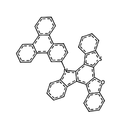 c1ccc2c(c1)oc1c3sc4ccccc4c3c3c(c4ccccc4n3-c3ccc4c5ccccc5c5ccccc5c4c3)c21